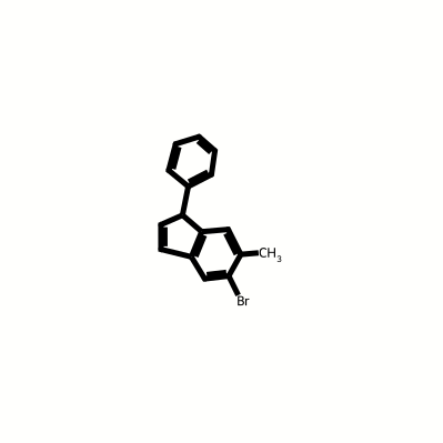 Cc1cc2c(cc1Br)C=CC2c1ccccc1